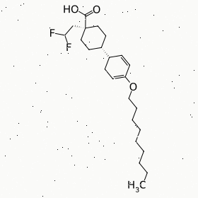 CCCCCCCCCOC1=CCC([C@H]2CC[C@](CC(F)F)(C(=O)O)CC2)C=C1